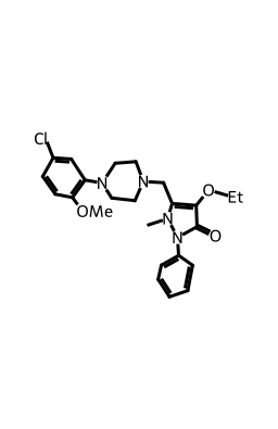 CCOc1c(CN2CCN(c3cc(Cl)ccc3OC)CC2)n(C)n(-c2ccccc2)c1=O